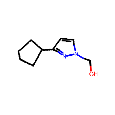 OCn1ccc(C2CCCC2)n1